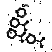 O=C([O-])c1cccnc1.O=C([O-])c1cccnc1.O=C([O-])c1cccnc1.[Cr+3].c1ccncc1